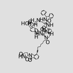 NCCC[C@H](NC(=O)[C@@H]1CC[C@@H]2CCN(C(=O)CCCCCC#Cc3cccc4c3CN(C3CCC(=O)NC3=O)C4=O)C[C@H](NC(=O)c3cc4cc(CP(=O)(O)O)ccc4[nH]3)C(=O)N21)C(=O)NC(c1ccccc1)c1ccccc1